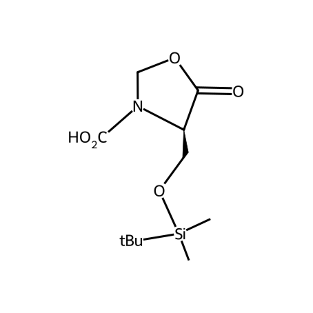 CC(C)(C)[Si](C)(C)OC[C@@H]1C(=O)OCN1C(=O)O